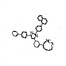 C1=CC(c2ccc(-c3cc(C4CCC=C(c5cccccccnc5)C4)nc(-c4ccc(-c5cccc6ccccc56)cc4)n3)cc2)=CCC1